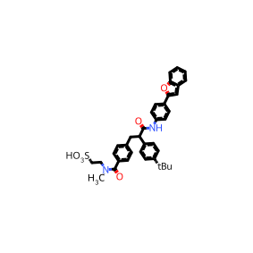 CN(CCS(=O)(=O)O)C(=O)c1ccc(CC(C(=O)Nc2ccc(-c3cc4ccccc4o3)cc2)c2ccc(C(C)(C)C)cc2)cc1